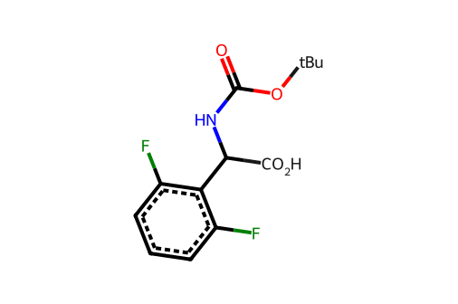 CC(C)(C)OC(=O)NC(C(=O)O)c1c(F)cccc1F